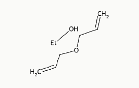 C=CCOCC=C.[CH2]CO